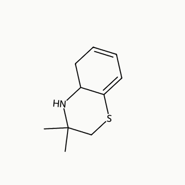 CC1(C)CSC2=CC=CCC2N1